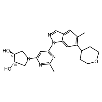 Cc1nc(N2C[C@H](O)[C@@H](O)C2)cc(-n2ncc3cc(C)c(C4CCOCC4)cc32)n1